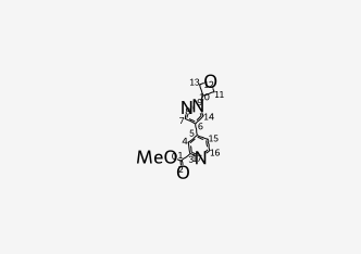 COC(=O)c1cc(-c2cnn(C3COC3)c2)ccn1